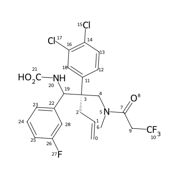 C=CC[C@@](CN(C)C(=O)CC(F)(F)F)(c1ccc(Cl)c(Cl)c1)C(NC(=O)O)c1cccc(F)c1